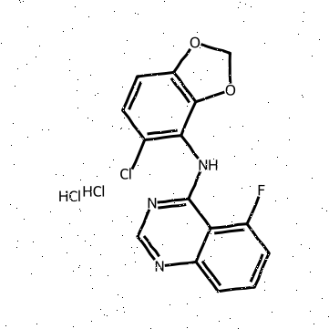 Cl.Cl.Fc1cccc2ncnc(Nc3c(Cl)ccc4c3OCO4)c12